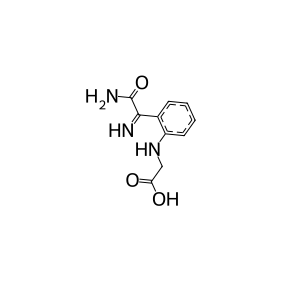 N=C(C(N)=O)c1ccccc1NCC(=O)O